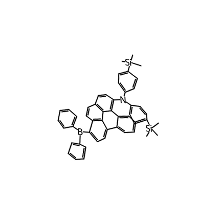 C[Si](C)(C)c1ccc(N(c2ccc([Si](C)(C)C)cc2)c2ccc3ccc4c(B(c5ccccc5)c5ccccc5)ccc5c6ccccc6c2c3c45)cc1